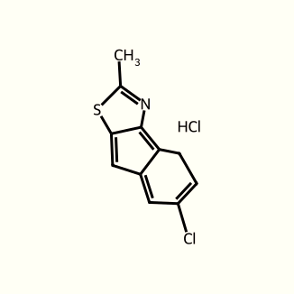 Cc1nc2c(s1)=CC1=CC(Cl)=CCC=21.Cl